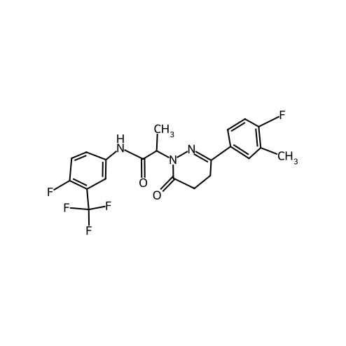 Cc1cc(C2=NN(C(C)C(=O)Nc3ccc(F)c(C(F)(F)F)c3)C(=O)CC2)ccc1F